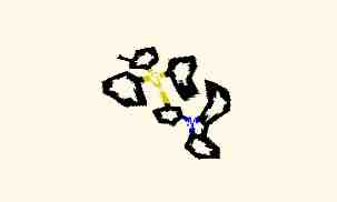 Cc1cccc(S(c2ccccc2)(c2ccccc2)c2cccc(-n3c4ccccc4c4ccccc43)c2)c1